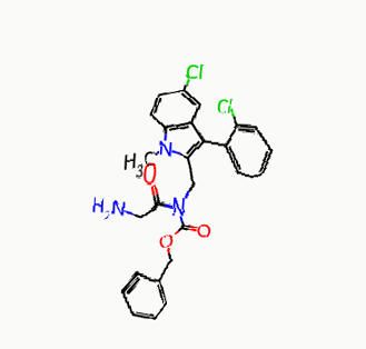 Cn1c(CN(C(=O)CN)C(=O)OCc2ccccc2)c(-c2ccccc2Cl)c2cc(Cl)ccc21